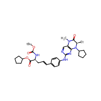 CC[C@@H]1C(=O)N(C)c2cnc(Nc3ccc(C=CC[C@H](NC(=O)OC(C)(C)C)C(=O)OC4CCCC4)cc3)nc2N1C1CCCC1